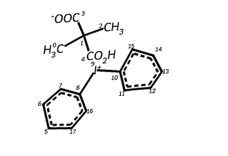 CC(C)(C(=O)[O-])C(=O)O.c1ccc([I+]c2ccccc2)cc1